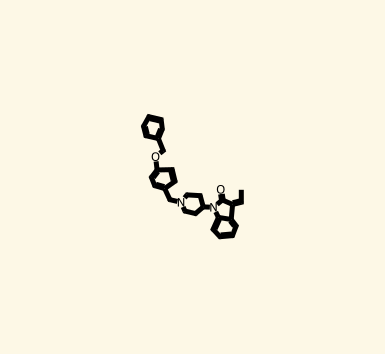 C/C=C1\C(=O)N(C2CCN(Cc3ccc(OCc4ccccc4)cc3)CC2)c2ccccc21